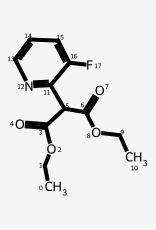 CCOC(=O)C(C(=O)OCC)c1ncccc1F